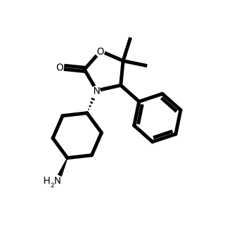 CC1(C)OC(=O)N([C@H]2CC[C@H](N)CC2)C1c1ccccc1